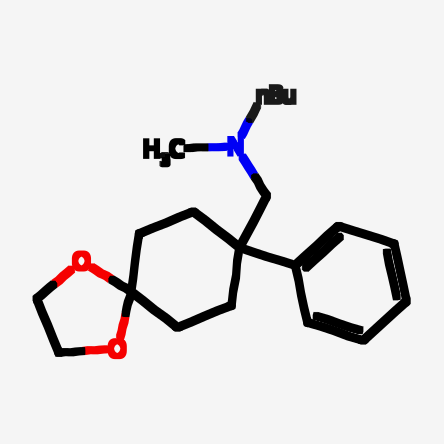 CCCCN(C)CC1(c2ccccc2)CCC2(CC1)OCCO2